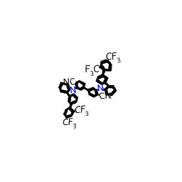 N#Cc1ccc(-c2ccc(C#N)c(-n3c4ccccc4c4cc(-c5ccc(C(F)(F)F)cc5C(F)(F)F)ccc43)c2)cc1-n1c2ccccc2c2cc(-c3ccc(C(F)(F)F)cc3C(F)(F)F)ccc21